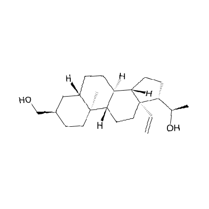 C=C[C@]12CC[C@H]3[C@@H](CC[C@H]4C[C@H](CO)CC[C@@]43C)[C@@H]1CC[C@@H]2[C@@H](C)O